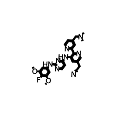 COc1cc(Nc2nccc(Nc3cc(CC#N)cnc3-c3cc(CN(C)C)ccn3)n2)cc(OC)c1F